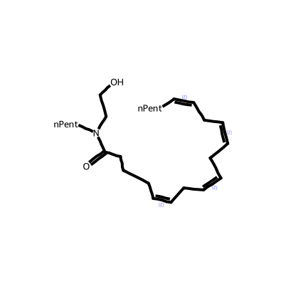 CCCCC/C=C\C/C=C\C/C=C\C/C=C\CCCC(=O)N(CCO)CCCCC